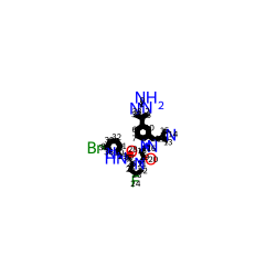 Nc1ncc(-c2ccc3c(c2)c(C2=CN=C2)nn3CC(=O)N2C[C@H](F)C[C@H]2C(=O)Nc2cccc(Br)n2)cn1